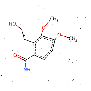 COc1ccc(C(N)=O)c(CCO)c1OC